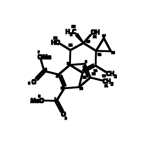 COC(=O)C1=C(C(=O)OC)C23C=C(C)C1C2=C(C)C1(CC1)[C@@](C)(O)C3O